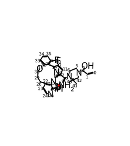 C=CC(O)N1CCN(C(=C)c2cc(F)c3nc2N(C(N)=O)c2c(ccnc2C(C)C)CCCOc2cccc(F)c2-3)C(C)(C)C1